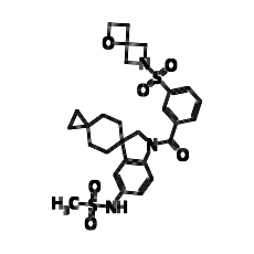 CS(=O)(=O)Nc1ccc2c(c1)C1(CCC3(CC3)CC1)CN2C(=O)c1cccc(S(=O)(=O)N2CC3(CCO3)C2)c1